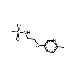 Cc1ccc(OCCNS(C)(=O)=O)cn1